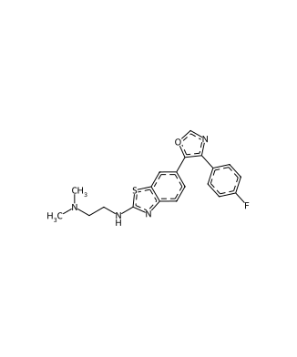 CN(C)CCNc1nc2ccc(-c3ocnc3-c3ccc(F)cc3)cc2s1